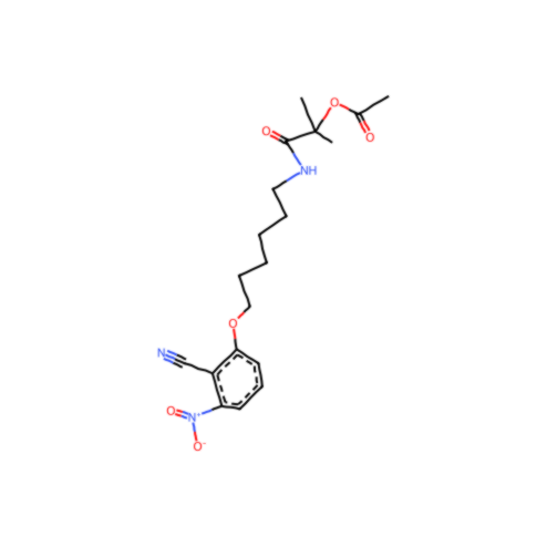 CC(=O)OC(C)(C)C(=O)NCCCCCCOc1cccc([N+](=O)[O-])c1C#N